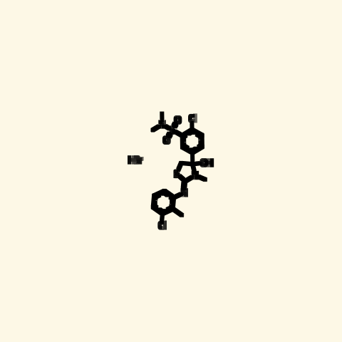 Br.Cc1c(Cl)cccc1N=C1SCC(O)(c2ccc(Cl)c(S(=O)(=O)N(C)C)c2)N1C